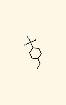 COC1CCC(C(F)(F)F)CC1